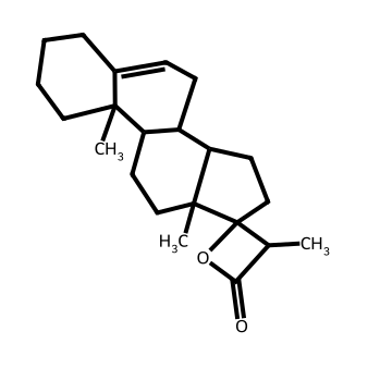 CC1C(=O)OC12CCC1C3CC=C4CCCCC4(C)C3CCC12C